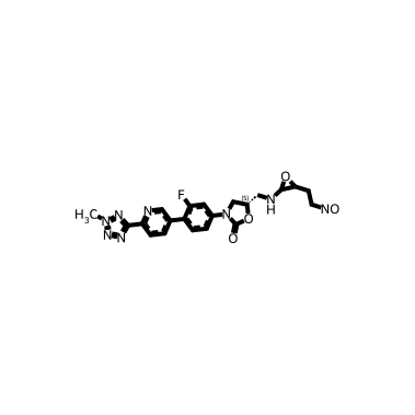 Cn1nnc(-c2ccc(-c3ccc(N4C[C@H](CNC5OC5CCN=O)OC4=O)cc3F)cn2)n1